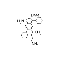 COc1cc(N)c2nc(C3CCCCC3)c(C(C)CCCN)cc2c1C1CCCCC1